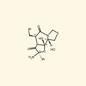 CC(C)C[C@H]1C(=O)N2CSC[C@@H]2[C@]2(O)O[C@](N)(C(C)C)C(=O)N12.Cl